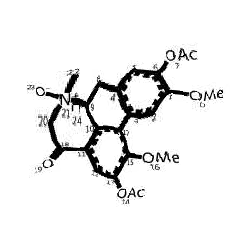 COc1cc2c(cc1OC(C)=O)C[C@H]1c3c(cc(OC(C)=O)c(OC)c3-2)C(=O)C[N+]1(C)[O-]